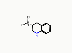 CC[SiH](CC)[C@H]1CNc2ccccc2C1